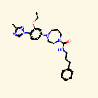 CCOc1cc(N2CCCN(C(=O)NCCCc3ccccc3)CC2)ccc1-n1cnc(C)n1